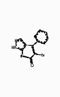 O=C1[N]c2[nH]ncc2C(c2ccccc2)=C1Br